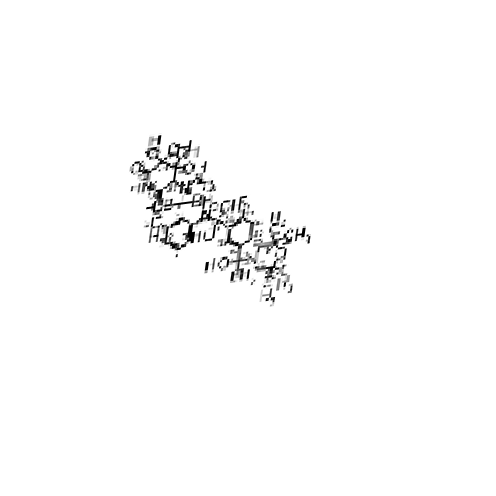 BC(B)(c1c(C)cccc1NC(O)(O)c1cc(C(B)(O)N2CC(C)(C)OC(C)(C)C2)ccc1F)N(C=O)C1C(=O)NC(=O)C(O)(O)C1(O)O